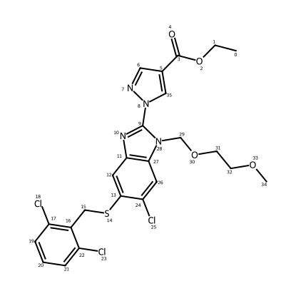 CCOC(=O)c1cnn(-c2nc3cc(SCc4c(Cl)cccc4Cl)c(Cl)cc3n2COCCOC)c1